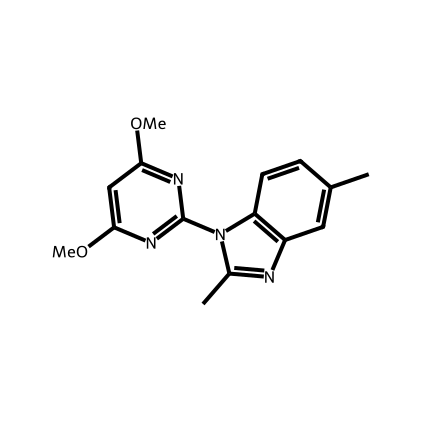 COc1cc(OC)nc(-n2c(C)nc3cc(C)ccc32)n1